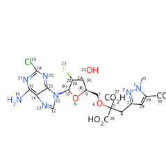 Cn1nc(CC(OC[C@H]2O[C@@H](n3cnc4c(N)nc(Cl)nc43)[C@@H](F)[C@@H]2O)(C(=O)O)C(=O)O)cc1C(=O)O